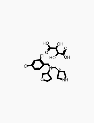 Clc1ccc(CN(C[C@H]2CCNC2)C2CCOC2)c(Cl)c1.O=C(O)C(O)C(O)C(=O)O